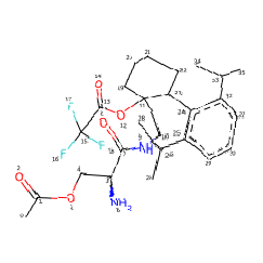 CC(=O)OC[C@H](N)C(=O)NCC1(OC(=O)C(F)(F)F)CCCCC1c1c(C(C)C)cccc1C(C)C